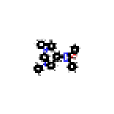 c1ccc(-c2nc(-c3cccc(-c4cccc5c4c4cc(-n6c7ccccc7c7ccccc76)ccc4n5-c4ccccc4)c3)nc3c2oc2ccccc23)cc1